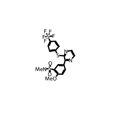 CNS(=O)(=O)c1cc(-c2nccnc2Sc2ccc(S(F)(F)(F)(F)F)cc2)ccc1OC